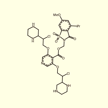 COc1cc(C(C)C)c2c(c1)S(=O)(=O)N(COC(=O)c1c(OCC(Cl)C3CNCCN3)cncc1OCC(Cl)C1CNCCN1)C2=O